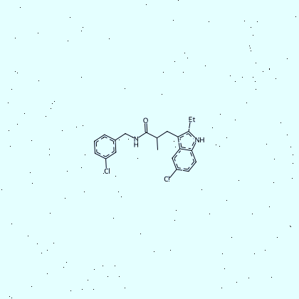 CCc1[nH]c2ccc(Cl)cc2c1CC(C)C(=O)NCc1cccc(Cl)c1